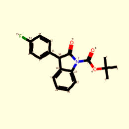 CC(C)(C)OC(=O)N1C(=O)C(c2ccc(F)cc2)c2ccccc21